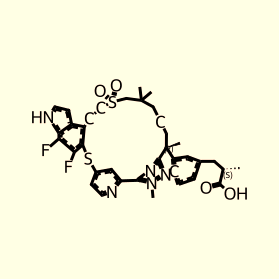 C[C@@H](Cc1cccc([C@@]2(C)CCCC(C)(C)CS(=O)(=O)CCc3c(c(F)c(F)c4[nH]ccc34)Sc3ccnc(c3)-c3nc2nn3C)c1)C(=O)O